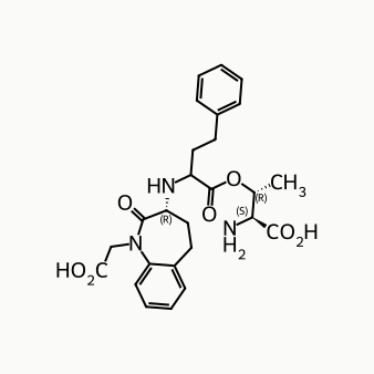 C[C@@H](OC(=O)C(CCc1ccccc1)N[C@@H]1CCc2ccccc2N(CC(=O)O)C1=O)[C@H](N)C(=O)O